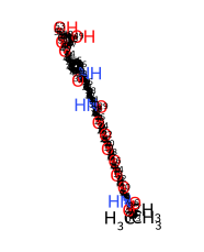 CC(C)(C)OC(=O)NCCOCCOCCOCCOCCOCCOCCC(=O)NCCCCCC(=O)Nc1ccc(CCO[C@H]2CC(O)C[C@@H](CO)O2)cc1